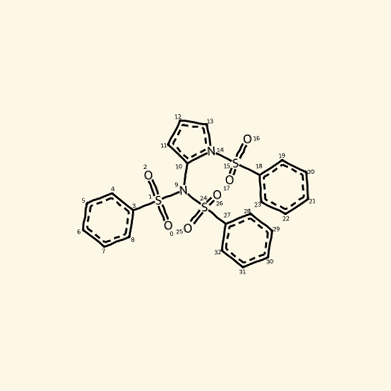 O=S(=O)(c1ccccc1)N(c1cccn1S(=O)(=O)c1ccccc1)S(=O)(=O)c1ccccc1